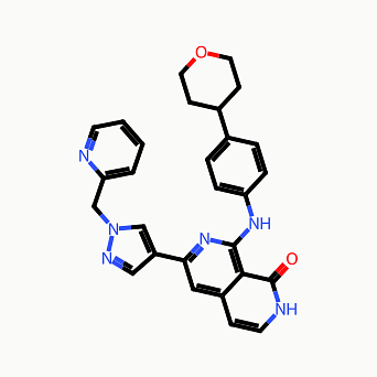 O=c1[nH]ccc2cc(-c3cnn(Cc4ccccn4)c3)nc(Nc3ccc(C4CCOCC4)cc3)c12